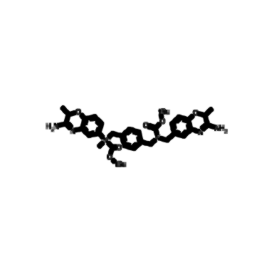 CC1Oc2ccc(CN(Cc3ccc(C[N+](C)(C(=O)OC(C)(C)C)c4ccc5c(c4)N=C(N)C(C)O5)cc3)C(=O)OC(C)(C)C)cc2N=C1N